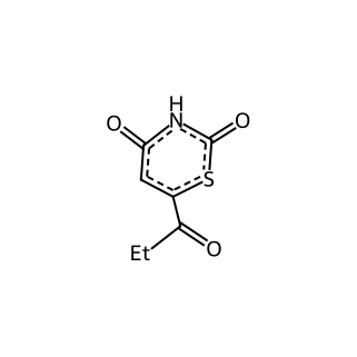 CCC(=O)c1cc(=O)[nH]c(=O)s1